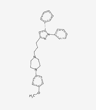 COc1ccc(N2CCN(CCCc3cc(-c4ccccc4)n(-c4ccccc4)n3)CC2)cc1